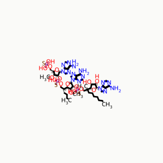 CCCCCCC[C@](C)(COP(O)(=S)O[C@@H]1[C@H](OC)[C@@H]([C@H](CCCC)COP(O)(=S)O[C@@H]2[C@H](OC)[C@@H](COP(O)(O)=S)O[C@H]2n2cnc3c(N)ncnc32)O[C@H]1n1cnc2c(N)ncnc21)[C@H]1O[C@@H](n2cnc3c(N)ncnc32)[C@H](O)[C@@H]1O